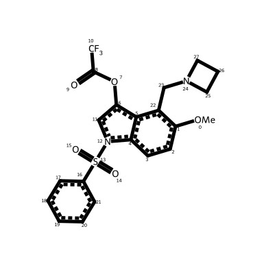 COc1ccc2c(c(OC(=O)C(F)(F)F)cn2S(=O)(=O)c2ccccc2)c1CN1CCC1